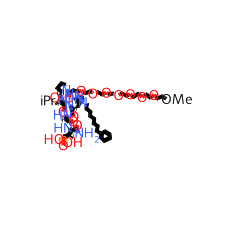 COCCOCCOCCOCCOCCOCCOCCOCCC(=O)N1CCC[C@H]1C(=O)N[C@@H](CC(C)C)C(=O)N[C@@H](Cc1cncn1CCCCCCCCc1ccccc1)C(=O)N[C@@H](C)C(=O)N[C@H](C(N)=O)[C@@H](C)CP(=O)(O)O